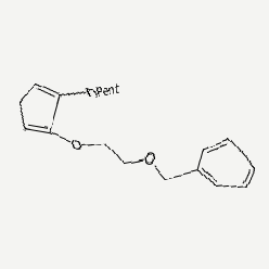 CCCCCC1=CCC=C1OCCOCc1ccccc1